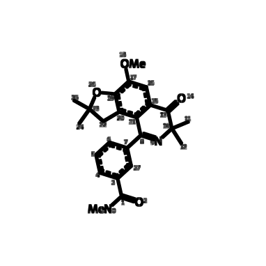 CNC(=O)c1cccc(C2=NC(C)(C)C(=O)c3cc(OC)c4c(c32)CC(C)(C)O4)c1